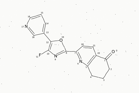 O=C1CCCc2nc(-c3nc(F)c(-c4cccnc4)o3)ccc21